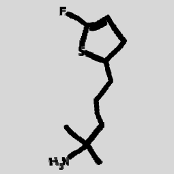 CC(C)(N)CCCC1CC=C(F)S1